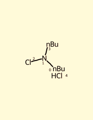 CCCCN(Cl)CCCC.Cl